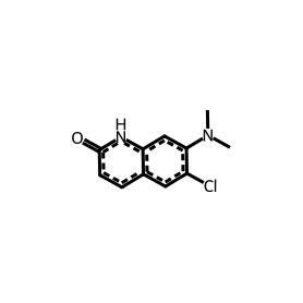 CN(C)c1cc2[nH]c(=O)ccc2cc1Cl